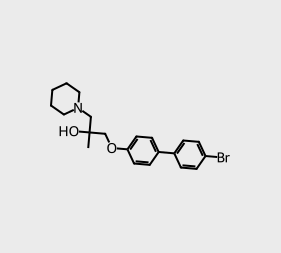 CC(O)(COc1ccc(-c2ccc(Br)cc2)cc1)CN1CCCCC1